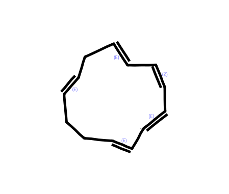 [C]1=C/C=C\C=C\C/C=C/CC/C=C/1